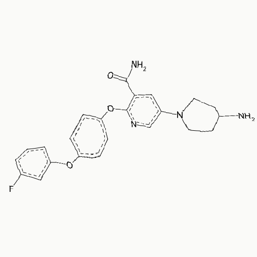 NC(=O)c1cc(N2CCC(N)CC2)cnc1Oc1ccc(Oc2cccc(F)c2)cc1